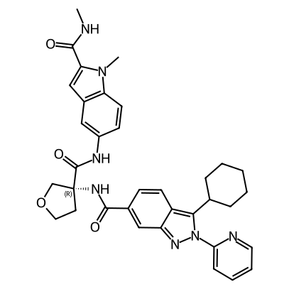 CNC(=O)c1cc2cc(NC(=O)[C@@]3(NC(=O)c4ccc5c(C6CCCCC6)n(-c6ccccn6)nc5c4)CCOC3)ccc2n1C